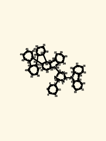 c1ccc(-c2nc(-n3c4ccccc4c4ccccc43)nc(-n3c4ccccc4c4c5c(ccc43)C3(c4ccccc4-c4ccccc43)c3ccccc3-5)n2)cc1